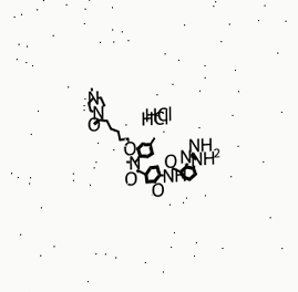 COc1cc(C(=O)N(C)c2ccc(C)cc2OCCCCCC(=O)N2CCN(C)CC2)ccc1NC(=O)c1cccc2[nH]c(N)nc12.Cl.Cl